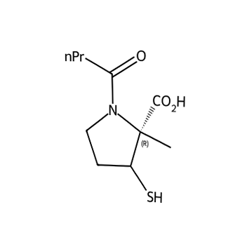 CCCC(=O)N1CCC(S)[C@@]1(C)C(=O)O